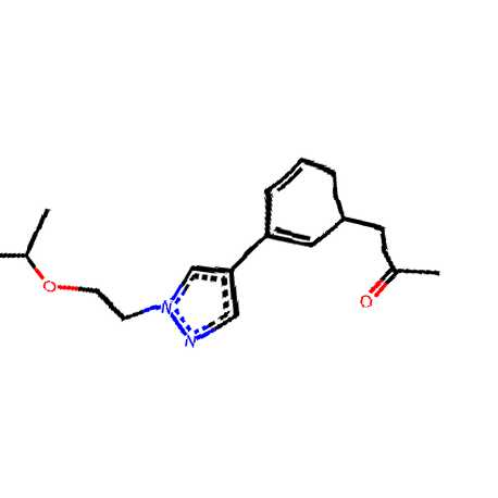 CC(=O)CC1C=C(c2cnn(CCOC(C)C)c2)C=CC1